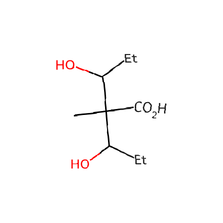 CCC(O)C(C)(C(=O)O)C(O)CC